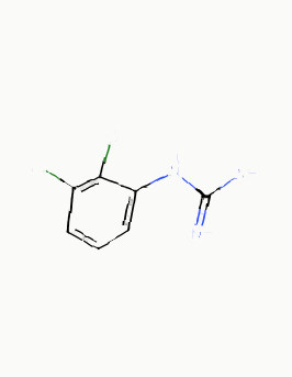 [NH]C(=N)Nc1cccc(Cl)c1Cl